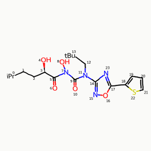 CC(C)CC[C@@H](O)C(=O)N(O)C(=O)N(CC(C)(C)C)c1noc(-c2cccs2)n1